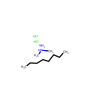 CCCCCCCC.CNC.Cl.Cl.N